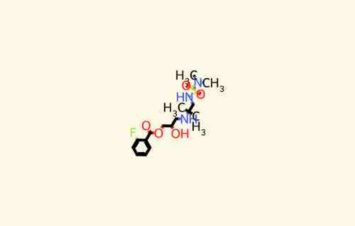 CN(C)S(=O)(=O)NCC(C)(C)NCC(O)COC(=O)c1ccccc1F